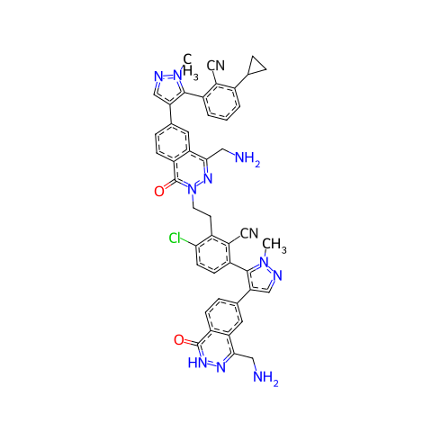 Cn1ncc(-c2ccc3c(=O)n(CCc4c(Cl)ccc(-c5c(-c6ccc7c(=O)[nH]nc(CN)c7c6)cnn5C)c4C#N)nc(CN)c3c2)c1-c1cccc(C2CC2)c1C#N